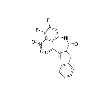 O=C1NC(Cc2ccccc2)C(=O)Nc2cc(F)c(F)c([N+](=O)[O-])c21